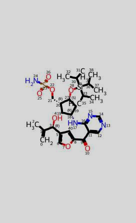 C=C(C)[C@@H](O)c1coc(C(=O)c2cncnc2N[C@@H]2C[C@H](COS(N)(=O)=O)[C@@H](O[Si](C(C)C)(C(C)C)C(C)C)C2)c1